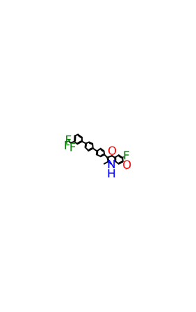 COc1cc2[nH]c(C)c(-c3ccc(-c4ccc(-c5cccc(C(F)(F)F)c5)cc4)cc3)c(=O)c2cc1F